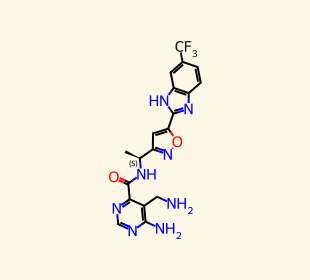 C[C@H](NC(=O)c1ncnc(N)c1CN)c1cc(-c2nc3ccc(C(F)(F)F)cc3[nH]2)on1